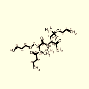 C=CCOC(C)(C)C[C@@H](C(N)=O)N(C)C(=O)[C@@H](COCCC=O)N(C)C(=O)CCC